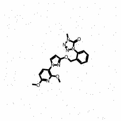 COc1ccc(-n2ccc(OCc3ccccc3-n3nnn(C)c3=O)n2)c(OC)n1